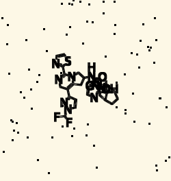 O=S(=O)(NC1CC2=C(c3ccn(C(F)F)n3)CN=C(c3nccs3)N2C1)N1CC2CCC(C1)C2(O)c1ncc[nH]1